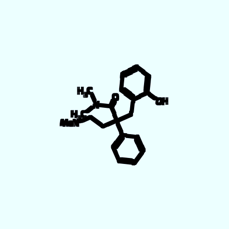 CNCCC(Cc1ccccc1O)(C(=O)N(C)C)c1ccccc1